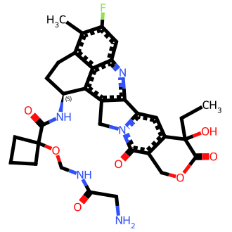 CCC1(O)C(=O)OCc2c1cc1n(c2=O)Cc2c-1nc1cc(F)c(C)c3c1c2[C@@H](NC(=O)C1(OCNC(=O)CN)CCC1)CC3